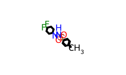 Cc1ccc(S(=O)(=O)NN=C2CCC(F)(F)CC2)cc1